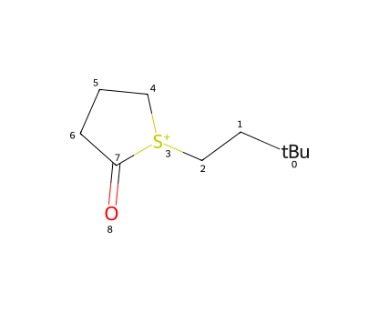 CC(C)(C)CC[S+]1CCCC1=O